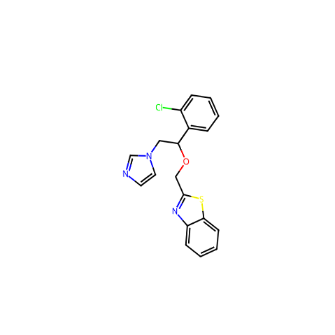 Clc1ccccc1C(Cn1ccnc1)OCc1nc2ccccc2s1